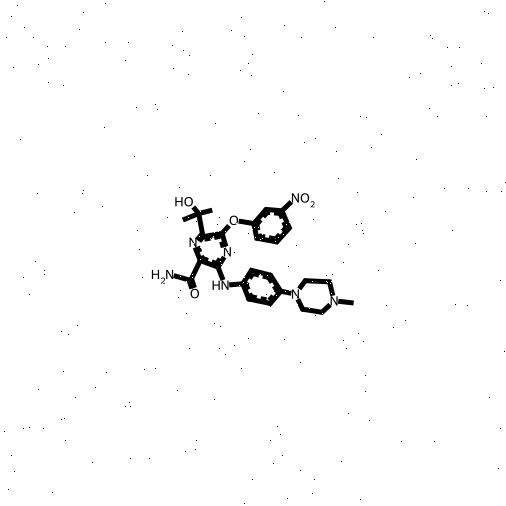 CN1CCN(c2ccc(Nc3nc(Oc4cccc([N+](=O)[O-])c4)c(C(C)(C)O)nc3C(N)=O)cc2)CC1